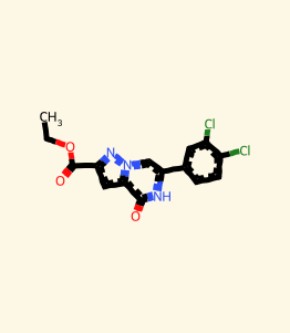 CCOC(=O)c1cc2c(=O)[nH]c(-c3ccc(Cl)c(Cl)c3)cn2n1